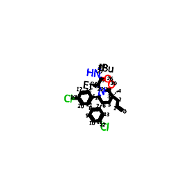 C=CC[C@@]1(C)C[C@H](c2cccc(Cl)c2)[C@@H](c2ccc(Cl)cc2)N(C(CC)C(=O)NC(C)(C)C)C1=O